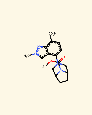 Cn1cc2c(N3CC4CCC(C3)N4C(=O)OC(C)(C)C)ccc(C(=O)O)c2n1